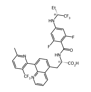 CC[C@@H](Nc1cc(F)c(C(=O)N[C@@H](Cc2ccc(-c3nc(C)ccc3C(F)(F)F)c3ncccc23)C(=O)O)c(F)c1)C(F)(F)F